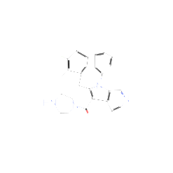 Cc1c(F)cccc1Cc1c(C(=O)N2CCNCC2)c2ccncc2n1-c1ccccc1